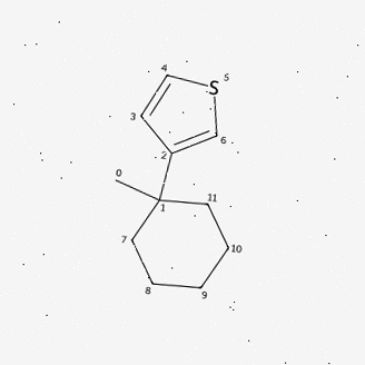 CC1(c2ccsc2)CCCCC1